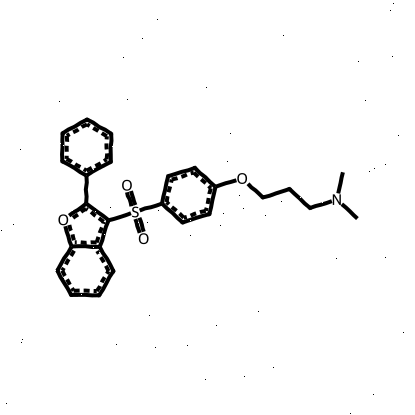 CN(C)CCCOc1ccc(S(=O)(=O)c2c(-c3ccccc3)oc3ccccc23)cc1